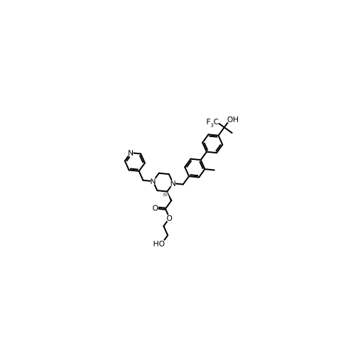 Cc1cc(CN2CCN(Cc3ccncc3)C[C@@H]2CC(=O)OCCO)ccc1-c1ccc(C(C)(O)C(F)(F)F)cc1